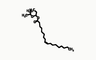 CCCCCCCC/C=C\CCCCCCCC(=O)OC(CC)OC(C)C